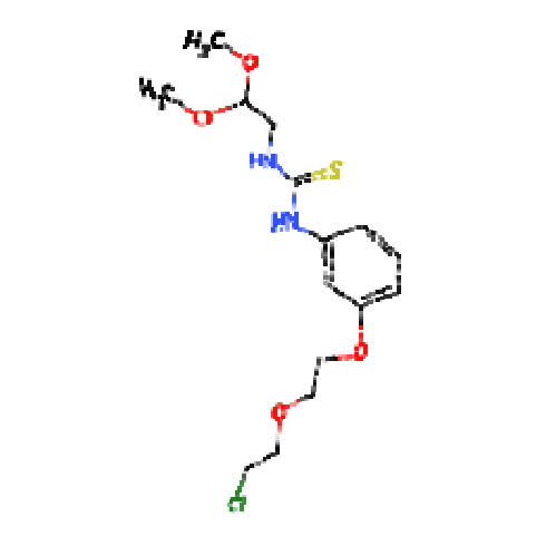 COC(CNC(=S)Nc1cccc(OCCOCCCl)c1)OC